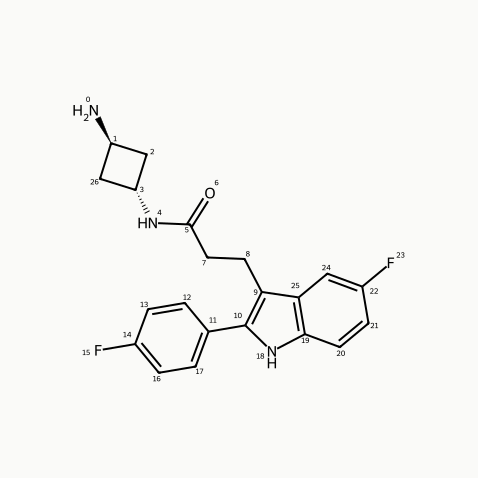 N[C@H]1C[C@H](NC(=O)CCc2c(-c3ccc(F)cc3)[nH]c3ccc(F)cc23)C1